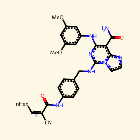 CCCCCC/C=C(/C#N)C(=O)Nc1ccc(CNc2nc(Nc3cc(OC)cc(OC)c3)c(C(N)=O)c3nccn23)cc1